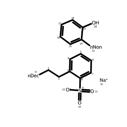 CCCCCCCCCCCCc1ccccc1S(=O)(=O)[O-].CCCCCCCCCc1ccccc1O.[Na+]